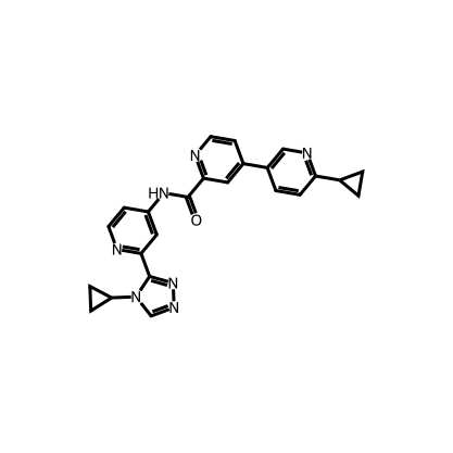 O=C(Nc1ccnc(-c2nncn2C2CC2)c1)c1cc(-c2ccc(C3CC3)nc2)ccn1